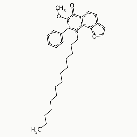 CCCCCCCCCCCCCCn1c(-c2ccccc2)c(OC)c(=O)c2ccc3ccoc3c21